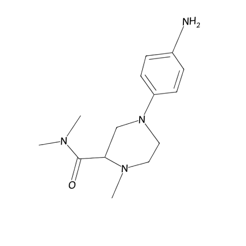 CN(C)C(=O)C1CN(c2ccc(N)cc2)CCN1C